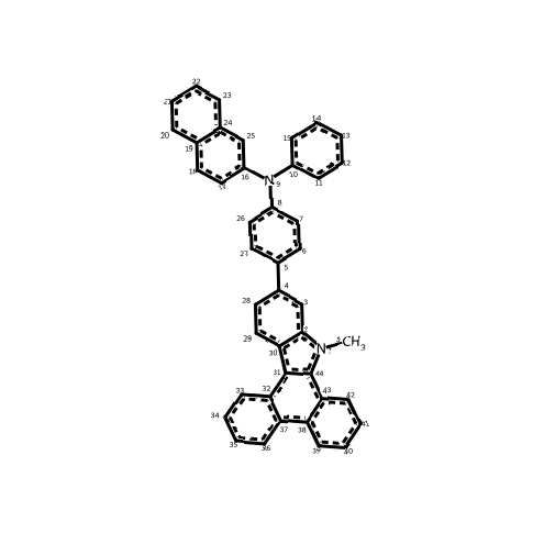 Cn1c2cc(-c3ccc(N(c4ccccc4)c4ccc5ccccc5c4)cc3)ccc2c2c3ccccc3c3ccccc3c21